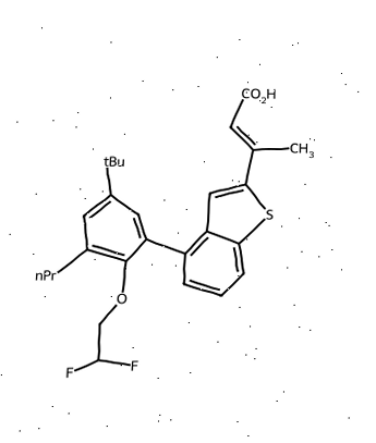 CCCc1cc(C(C)(C)C)cc(-c2cccc3sc(C(C)=CC(=O)O)cc23)c1OCC(F)F